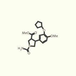 COC(=O)C1CN(C(N)=O)CC1c1ccc(OC)c(OC2CCCC2)c1